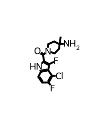 CC1(N)CCN(C(=O)c2[nH]c3ccc(F)c(Cl)c3c2F)CC1